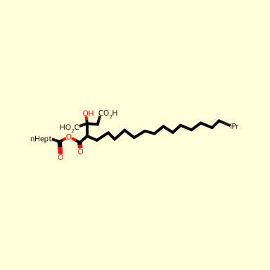 CCCCCCCC(=O)OC(=O)C(CCCCCCCCCCCCCCC(C)C)C(O)(CC(=O)O)C(=O)O